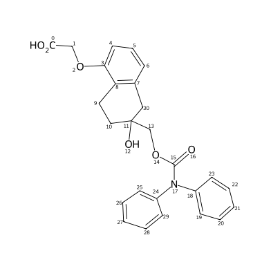 O=C(O)COc1cccc2c1CCC(O)(COC(=O)N(c1ccccc1)c1ccccc1)C2